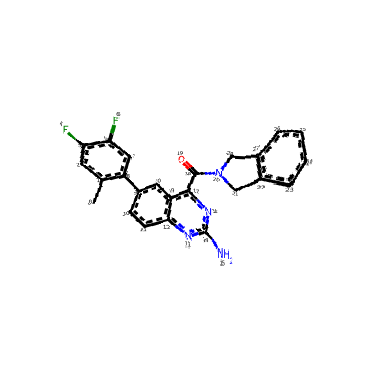 Cc1cc(F)c(F)cc1-c1ccc2nc(N)nc(C(=O)N3Cc4ccccc4C3)c2c1